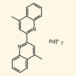 Cc1cc(-c2cc(C)c3ccccc3n2)nc2ccccc12.[I-].[I-].[Pd+2]